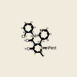 CCCCCn1c(C)cc(=O)c(C(=O)Nc2ccccc2Cl)c1-c1cccnc1